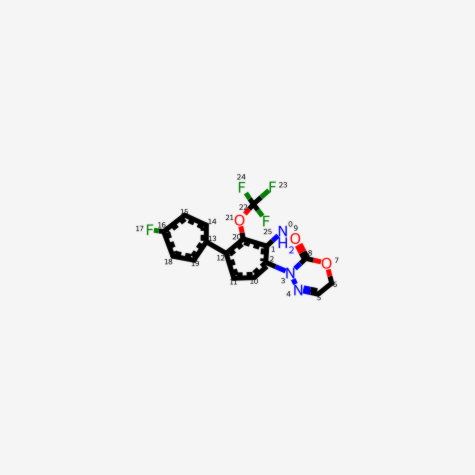 Nc1c(N2N=CCOC2=O)ccc(-c2ccc(F)cc2)c1OC(F)(F)F